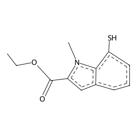 CCOC(=O)c1cc2cccc(S)c2n1C